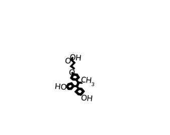 CCC(=C(c1ccc(O)cc1)c1ccc(O)cc1)c1ccc(OCCCC(=O)O)cc1